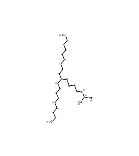 CCCCCCCCCCCCCCCCCCC(CCCCCCCCCCCCCCCCCC)CCCCOP(O)O